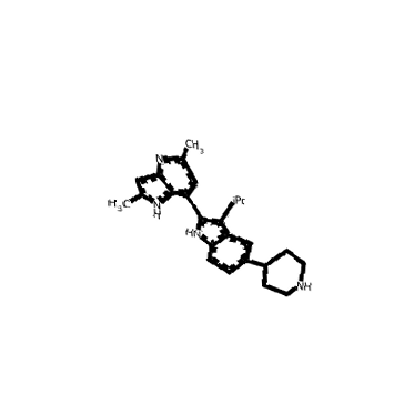 Cc1cc(-c2[nH]c3ccc(C4CCNCC4)cc3c2C(C)C)c2[nH]c(C)cc2n1